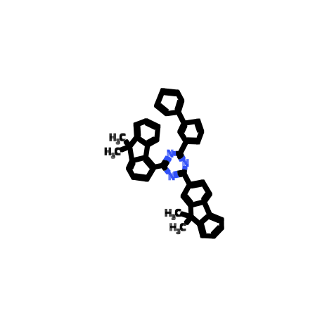 CC1(C)c2ccccc2-c2ccc(-c3nc(-c4cccc(-c5ccccc5)c4)nc(-c4cccc5c4-c4ccccc4C5(C)C)n3)cc21